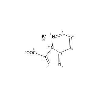 O=C([O-])c1cnc2cccnn12.[K+]